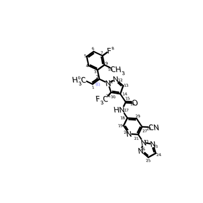 C/C=C(\c1cccc(F)c1C)n1ncc(C(=O)Nc2cnc(-n3nccn3)c(C#N)c2)c1C(F)(F)F